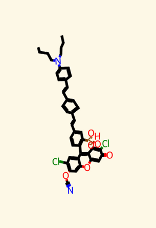 CCCCN(CCCC)c1ccc(/C=C/c2ccc(/C=C/c3ccc(-c4c5cc(Cl)c(=O)cc-5oc5cc(OC#N)c(Cl)cc45)c(S(=O)(=O)O)c3)cc2)cc1